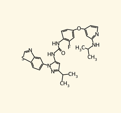 CC(C)Nc1cc(Oc2ccc(NC(=O)Nc3cc(C(C)C)nn3-c3ccc4scnc4c3)c(F)c2)ccn1